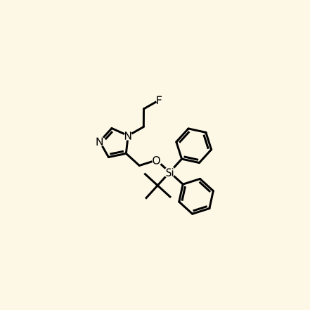 CC(C)(C)[Si](OCc1cncn1CCF)(c1ccccc1)c1ccccc1